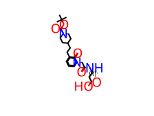 C[C@H](CC(=O)O)NC(=O)Cn1cccc(CCC2CCN(C(=O)OC(C)(C)C)CC2)c1=O